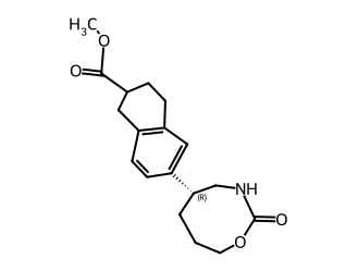 COC(=O)C1CCc2cc([C@H]3CCCOC(=O)NC3)ccc2C1